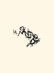 NC(C=O)N1CCN(C(=O)c2cc(F)ccc2C(F)(F)F)CC1